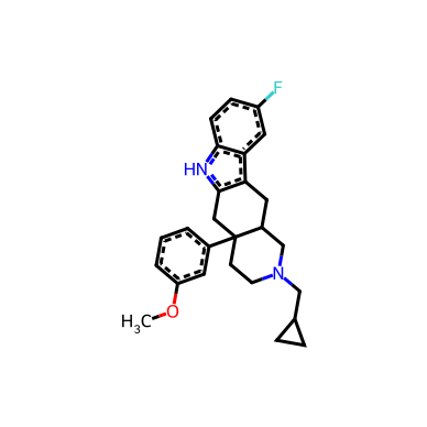 COc1cccc(C23CCN(CC4CC4)CC2Cc2c([nH]c4ccc(F)cc24)C3)c1